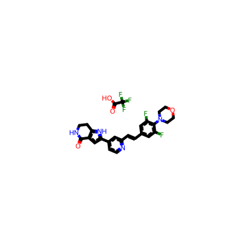 O=C(O)C(F)(F)F.O=C1NCCc2[nH]c(-c3ccnc(C=Cc4cc(F)c(N5CCOCC5)c(F)c4)c3)cc21